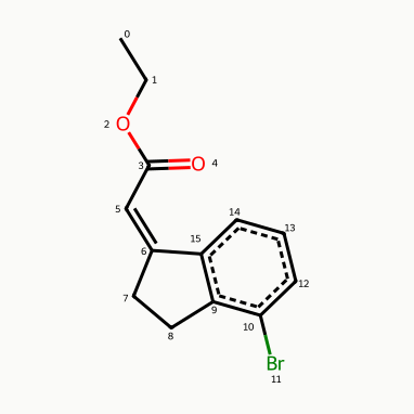 CCOC(=O)/C=C1/CCc2c(Br)cccc21